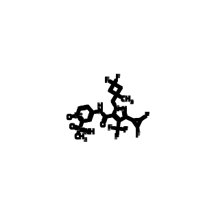 CC1(Cn2nc(C3C(F)C3F)c(C(F)(F)F)c2C(=O)Nc2cc[n+]([O-])c(S(C)(=N)=O)c2)CC(F)(F)C1